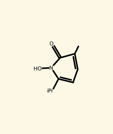 Cc1ccc(C(C)C)n(O)c1=O